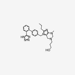 CCCc1nc2c(n1Cc1ccc(-c3ccccc3-c3nnn[nH]3)cc1)CN(CCCO)CN2C